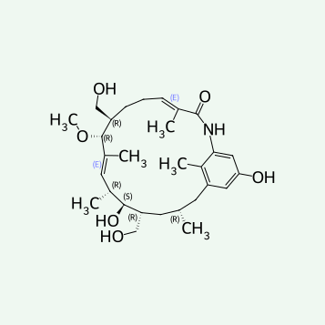 CO[C@H]1/C(C)=C/[C@@H](C)[C@H](O)[C@@H](CO)C[C@@H](C)Cc2cc(O)cc(c2C)NC(=O)/C(C)=C/CC[C@@H]1CO